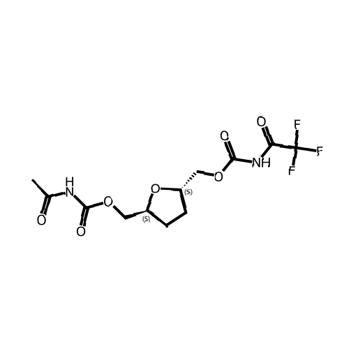 CC(=O)NC(=O)OC[C@@H]1CC[C@@H](COC(=O)NC(=O)C(F)(F)F)O1